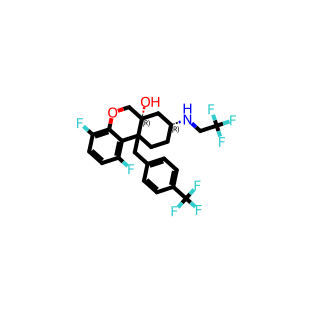 O[C@@]12COc3c(F)ccc(F)c3C1(Cc1ccc(C(F)(F)F)cc1)CC[C@@H](NCC(F)(F)F)C2